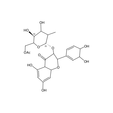 CC(=O)OCC1O[C@@H](OC2C(=O)C3C(O)=CC(O)=CC3OC2C2=CC(O)C(O)C=C2)C(C)C(O)[C@@H]1O